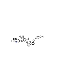 N=C1C=C(COc2cc(OCc3cccc(-c4cccc(OCCN5CCC(O)CC5)c4)c3Cl)c(Cl)cc2CN)C=C/C1=N/O